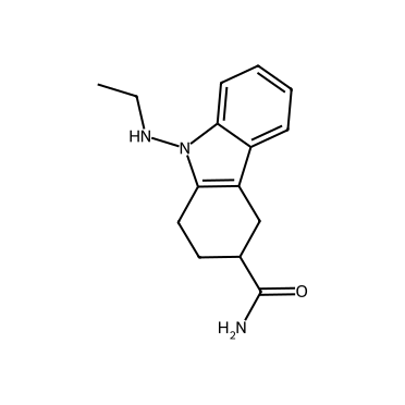 CCNn1c2c(c3ccccc31)CC(C(N)=O)CC2